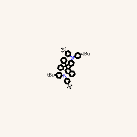 CC(C)(C)c1ccc(N(c2ccc([Si](C)(C)C)cc2)c2ccc3c(c2)C(c2ccccc2)(c2ccccc2)c2cc(N(c4ccc(C(C)(C)C)cc4)c4ccc([Si](C)(C)C)cc4)c4ccccc4c2-3)cc1